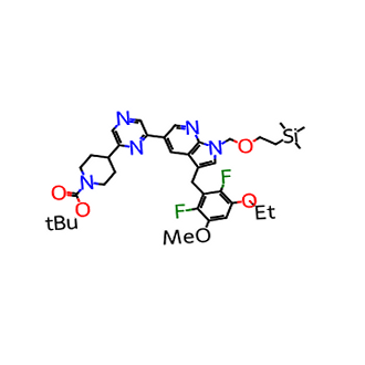 CCOc1cc(OC)c(F)c(Cc2cn(COCC[Si](C)(C)C)c3ncc(-c4cncc(C5CCN(C(=O)OC(C)(C)C)CC5)n4)cc23)c1F